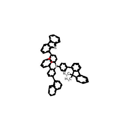 CC1(C)c2ccccc2-c2cccc(-c3ccc(N(c4ccc(-c5cccc6c5sc5ccccc56)cc4)c4cc(-c5cccc6ccccc56)ccc4-c4ccccc4)cc3)c21